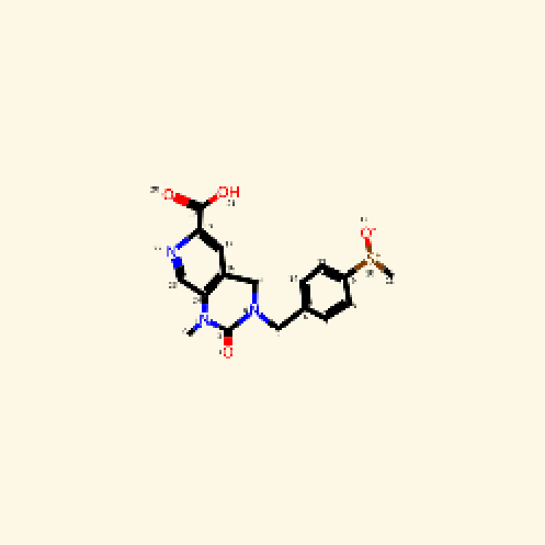 CN1C(=O)N(Cc2ccc([S+](C)[O-])cc2)Cc2cc(C(=O)O)ncc21